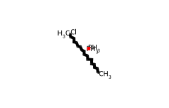 CCCCCCCCCCCCCCCCCCC(C)Cl.P.P